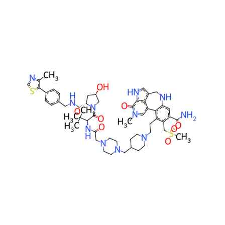 Cc1ncsc1-c1ccc(CNC(=O)[C@@H]2C[C@@H](O)CN2C(=O)[C@@H](NC(=O)CN2CCN(CC3CCN(CCc4c(CS(C)(=O)=O)c(C(N)=O)cc5c4-c4cn(C)c(=O)c6[nH]cc(c46)CN5)CC3)CC2)C(C)(C)C)cc1